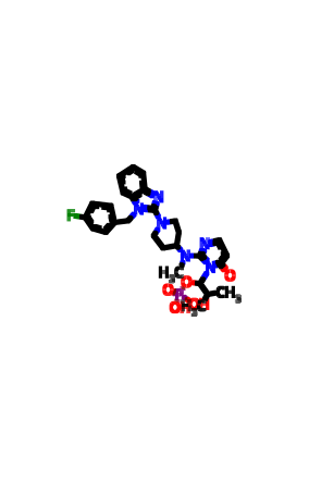 CC(C)C(OP(=O)(O)O)n1c(N(C)C2CCN(c3nc4ccccc4n3Cc3ccc(F)cc3)CC2)nccc1=O